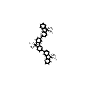 CC1(C)c2ccc(-c3ccc4c(n3)-c3cc(-c5ccc6c(n5)-c5ccccc5C6(C)C)ccc3C4(C)C)cc2-c2ncccc21